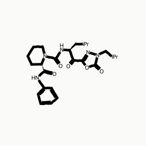 CC(C)C[C@H](NC(=O)N1CCCC[C@H]1C(=O)Nc1ccccc1)C(=O)c1nn(CC(C)C)c(=O)o1